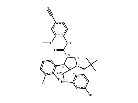 COc1cc(C#N)ccc1NC(=O)[C@@H]1N[C@@H](CC(C)(C)C)[C@@]2(C(=O)Nc3cc(Br)ccc32)[C@H]1c1cccc(Cl)c1F